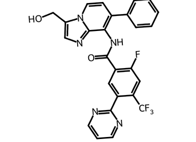 O=C(Nc1c(-c2ccccc2)ccn2c(CO)cnc12)c1cc(-c2ncccn2)c(C(F)(F)F)cc1F